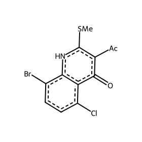 CSc1[nH]c2c(Br)ccc(Cl)c2c(=O)c1C(C)=O